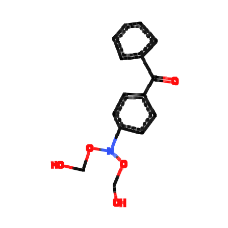 O=C(c1ccccc1)c1ccc(N(OCO)OCO)cc1